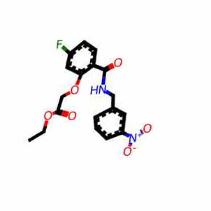 CCOC(=O)COc1cc(F)ccc1C(=O)NCc1cccc([N+](=O)[O-])c1